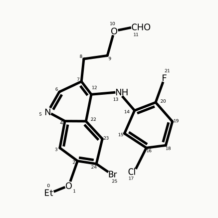 CCOc1cc2ncc(CCOC=O)c(Nc3cc(Cl)ccc3F)c2cc1Br